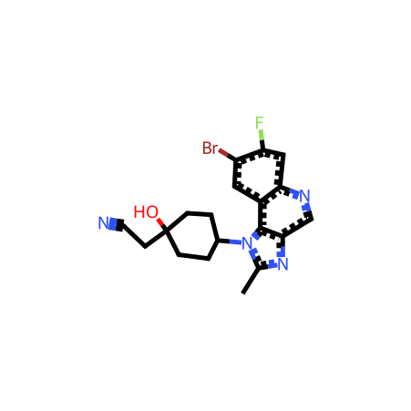 Cc1nc2cnc3cc(F)c(Br)cc3c2n1C1CCC(O)(CC#N)CC1